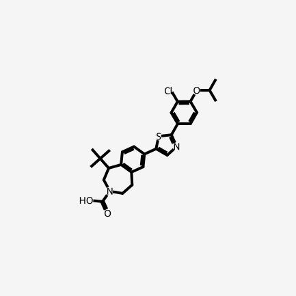 CC(C)Oc1ccc(-c2ncc(-c3ccc4c(c3)CCN(C(=O)O)CC4C(C)(C)C)s2)cc1Cl